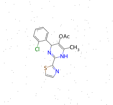 CC(=O)OC1=C(C)NC(c2nccs2)=NC1c1ccccc1Cl